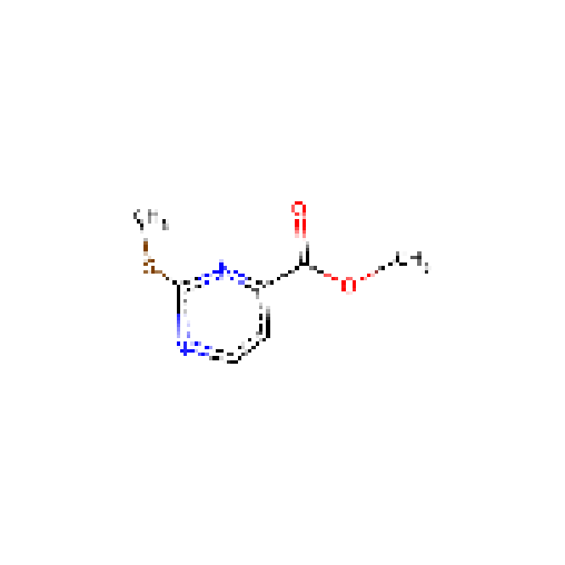 COC(=O)c1ccnc(SC)n1